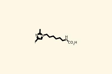 Cc1nc(I)cn1CCCCCCNC(=O)O